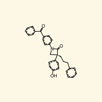 O=C(c1ccccc1)c1ccc(N2C[C@@](CCCc3ccccc3)(c3ccc(O)cc3)C2=O)cc1